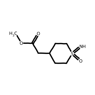 COC(=O)CC1CCS(=N)(=O)CC1